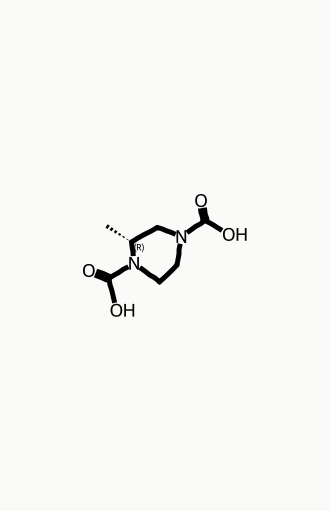 C[C@@H]1CN(C(=O)O)CCN1C(=O)O